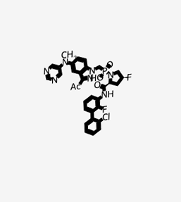 CC(=O)c1nn(CP(=O)(O)N2C[C@H](F)C[C@H]2C(=O)Nc2cccc(-c3ccccc3Cl)c2F)c2ccc(N(C)c3cncnc3)cc12